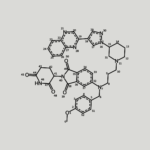 COc1ccc(CN(CCCN2CCCC(n3cc(-c4cnc5ccccc5n4)cn3)C2)c2ccc3c(c2)C(=O)N(C2CCC(=O)NC2=O)C3=O)cc1